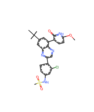 COc1ccc(-c2cc(C(C)(C)C)cc3nc(-c4ccc(NS(C)(=O)=O)cc4Cl)cnc23)c(=O)[nH]1